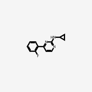 Fc1ccc[c]c1-c1ccnc(NC2CC2)n1